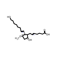 CO[C@@H]1C[C@H](O)C(C/C=C/CCCC(=O)O)[C@@H]1/C=C/CCCCCCO